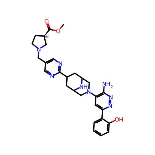 COC(=O)[C@@H]1CCN(Cc2cnc(C3CC4CN(c5cc(-c6ccccc6O)nnc5N)CC(C3)N4)nc2)C1